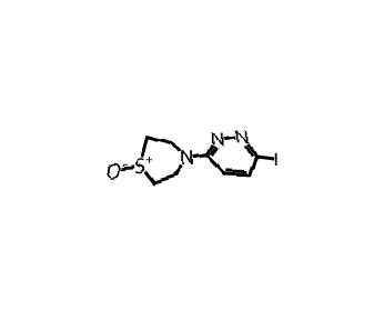 [O-][S+]1CCN(c2ccc(I)nn2)CC1